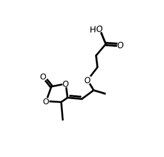 CC(/C=C1\OC(=O)OC1C)OCCC(=O)O